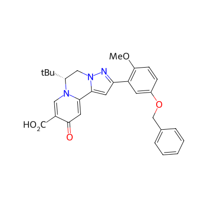 COc1ccc(OCc2ccccc2)cc1-c1cc2n(n1)C[C@@H](C(C)(C)C)n1cc(C(=O)O)c(=O)cc1-2